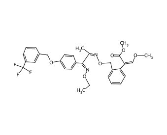 CCON=C(C(C)=NOCc1ccccc1C(=COC)C(=O)OC)c1ccc(OCc2cccc(C(F)(F)F)c2)cc1